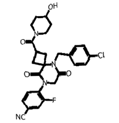 N#Cc1ccc(N2CC(=O)N(Cc3ccc(Cl)cc3)C3(CC(C(=O)N4CCC(O)CC4)C3)C2=O)c(F)c1